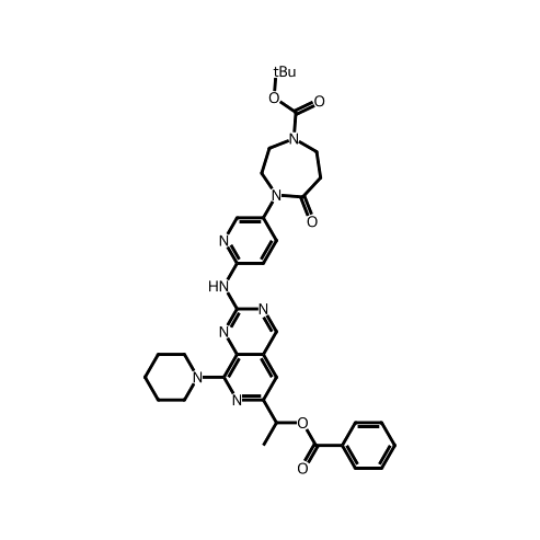 CC(OC(=O)c1ccccc1)c1cc2cnc(Nc3ccc(N4CCN(C(=O)OC(C)(C)C)CCC4=O)cn3)nc2c(N2CCCCC2)n1